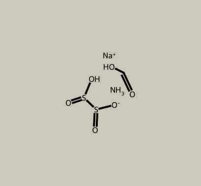 N.O=CO.O=S([O-])S(=O)O.[Na+]